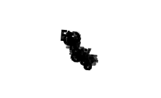 CCS(=O)(=O)N1CCN(c2ccc(C(=O)N3CC[C@@]4(C3)OC(=O)C3C=CC=CC34)c(Cl)c2)CC1